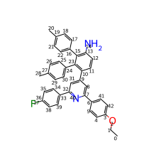 CCOc1ccc(-c2cc(-c3ccc(N)c(-c4ccc(C)cc4)c3-c3ccc(C)cc3)cc(-c3ccc(F)cc3)n2)cc1